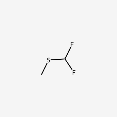 CS[C](F)F